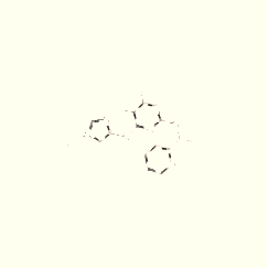 C[C@H](Nc1nc(Cl)c(F)c(Nc2cn(C)cn2)n1)c1ccc(F)cn1